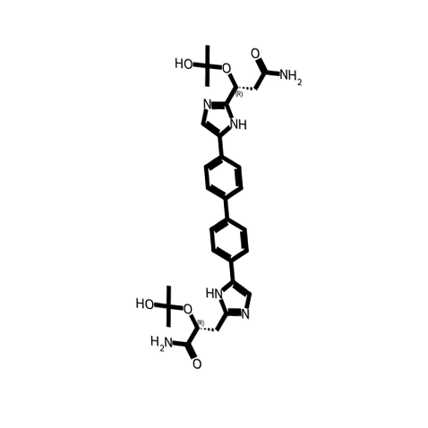 CC(C)(O)O[C@H](Cc1ncc(-c2ccc(-c3ccc(-c4cnc([C@@H](CC(N)=O)OC(C)(C)O)[nH]4)cc3)cc2)[nH]1)C(N)=O